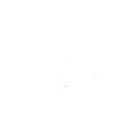 Cc1ccc(C#N)cc1C1(N2c3ccccc3Oc3ccccc32)c2ccccc2N(c2ccccc2)c2ccccc21